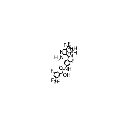 [2H]C([2H])([2H])c1nc(-c2ccc(NC(=O)C(O)c3cc(F)cc(C(F)(F)F)c3)cc2F)c2c(N)ncc(C(F)(F)F)n12